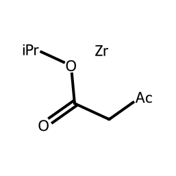 CC(=O)CC(=O)OC(C)C.[Zr]